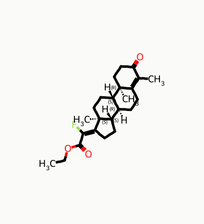 CCOC(=O)C(F)=C1CC[C@H]2[C@@H]3CCC4=C(C)C(=O)CC[C@]4(C)[C@H]3CC[C@]12C